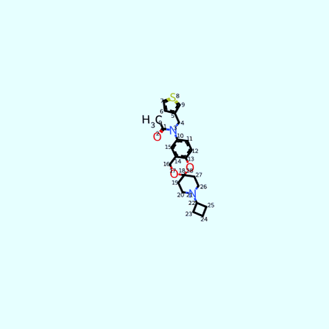 CC(=O)N(Cc1ccsc1)c1ccc2c(c1)COC1(CCN(C3CCC3)CC1)O2